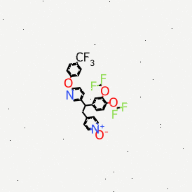 [O-][n+]1ccc(CC(c2ccc(Oc3ccc(C(F)(F)F)cc3)nc2)c2ccc(OC(F)F)c(OC(F)F)c2)cc1